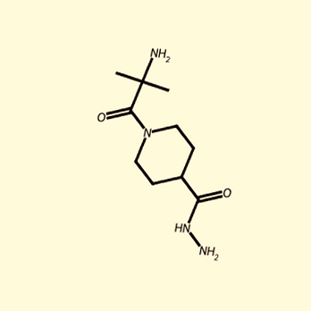 CC(C)(N)C(=O)N1CCC(C(=O)NN)CC1